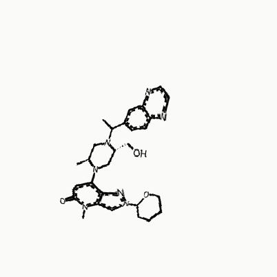 CC(c1ccc2nccnc2c1)N1C[C@H](C)N(c2cc(=O)n(C)c3cn(C4CCCCO4)nc23)C[C@H]1CO